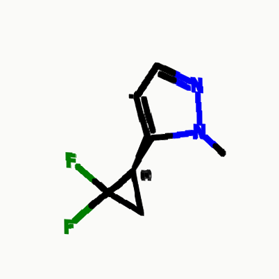 Cn1nc[c]c1[C@H]1CC1(F)F